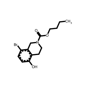 CCCCOC(=O)N1CCc2c(O)ccc(Br)c2C1